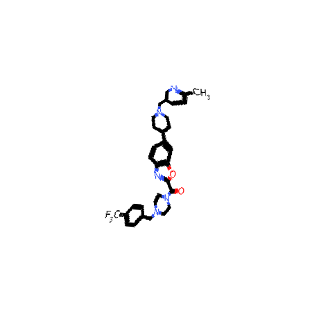 Cc1ccc(CN2CCC(c3ccc4nc(C(=O)N5CCN(Cc6ccc(C(F)(F)F)cc6)CC5)oc4c3)CC2)cn1